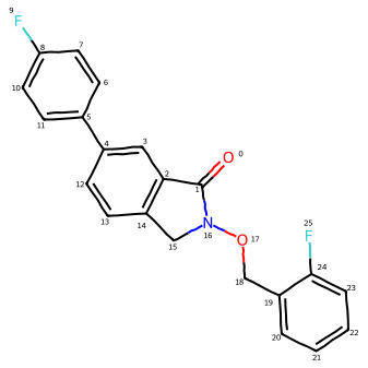 O=C1c2cc(-c3ccc(F)cc3)ccc2CN1OCc1ccccc1F